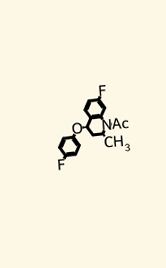 CC(=O)N1c2cc(F)ccc2[C@H](Oc2ccc(F)cc2)C[C@@H]1C